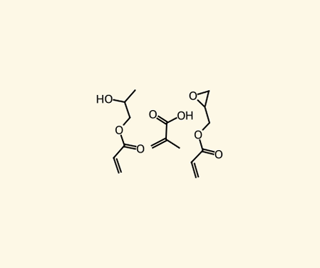 C=C(C)C(=O)O.C=CC(=O)OCC(C)O.C=CC(=O)OCC1CO1